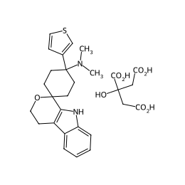 CN(C)C1(c2ccsc2)CCC2(CC1)OCCc1c2[nH]c2ccccc12.O=C(O)CC(O)(CC(=O)O)C(=O)O